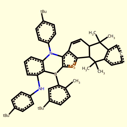 Cc1ccc(C(C)(C)C)cc1B1c2sc3c(c2N(c2ccc(C(C)(C)C)cc2)c2cccc(Nc4ccc(C(C)(C)C)cc4)c21)C=CC1C3C(C)(C)c2ccccc2C1(C)C